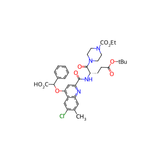 CCOC(=O)N1CCN(C(=O)[C@H](CCC(=O)OC(C)(C)C)NC(=O)c2cc(OC(C(=O)O)c3ccccc3)c3cc(Cl)c(C)cc3n2)CC1